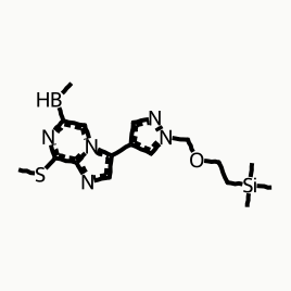 CBc1cn2c(-c3cnn(COCC[Si](C)(C)C)c3)cnc2c(SC)n1